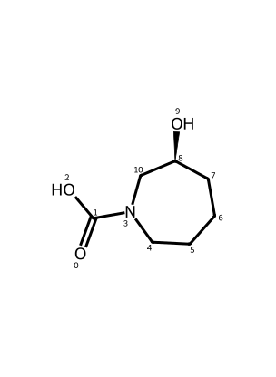 O=C(O)N1CCCC[C@H](O)C1